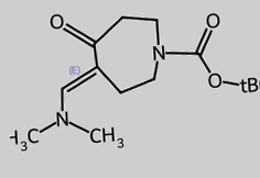 CN(C)/C=C1\CCN(C(=O)OC(C)(C)C)CCC1=O